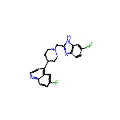 Fc1ccc2nc(CN3CCC(c4ccnc5ccc(F)cc45)CC3)[nH]c2c1